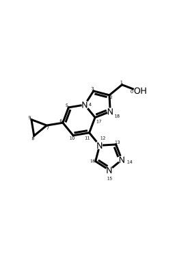 OCc1cn2cc(C3CC3)cc(-n3cnnc3)c2n1